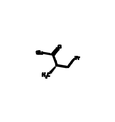 CC(C)C[C@H](C)C(=O)C(C)(C)C